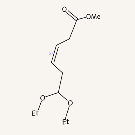 CCOC(C/C=C\CC(=O)OC)OCC